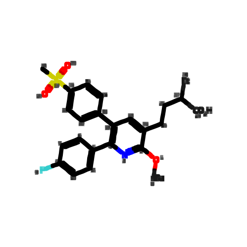 CCCCOc1nc(-c2ccc(F)cc2)c(-c2ccc(S(C)(=O)=O)cc2)cc1CCC(CC)C(=O)O